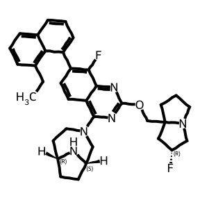 CCc1cccc2cccc(-c3ccc4c(N5CC[C@H]6CC[C@@H](C5)N6)nc(OCC56CCCN5C[C@H](F)C6)nc4c3F)c12